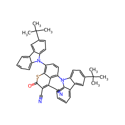 CC(C)(C)c1ccc2c(c1)c1ccccc1n2-c1ccc(-n2c3ccccc3c3cc(C(C)(C)C)ccc32)c2c(C#N)c(C#N)c(=O)sc12